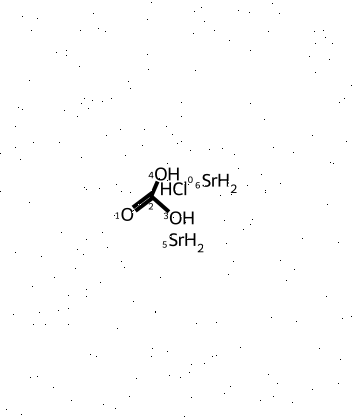 Cl.O=C(O)O.[SrH2].[SrH2]